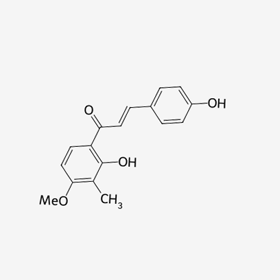 COc1ccc(C(=O)/C=C/c2ccc(O)cc2)c(O)c1C